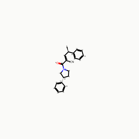 C[C@H](/C=C(\C#N)C(=O)N1CC[C@H](c2ccccc2)C1)c1ccccc1